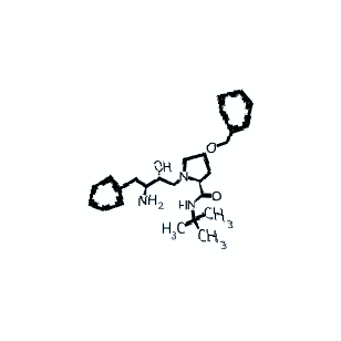 CC(C)(C)NC(=O)[C@@H]1C[C@H](OCc2ccccc2)CN1C[C@@H](O)[C@@H](N)Cc1ccccc1